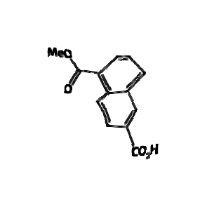 COC(=O)c1cccc2cc(C(=O)O)ccc12